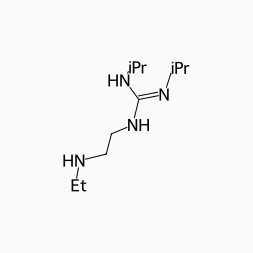 CCNCCNC(=NC(C)C)NC(C)C